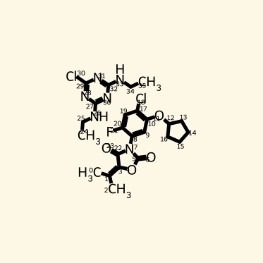 CC(C)=C1OC(=O)N(c2cc(OC3CCCC3)c(Cl)cc2F)C1=O.CCNc1nc(Cl)nc(NCC)n1